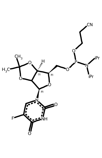 CC(C)N(C(C)C)P(OCCC#N)OC[C@H]1O[C@@H](n2cc(F)c(=O)[nH]c2=O)C2OC(C)(C)O[C@H]21